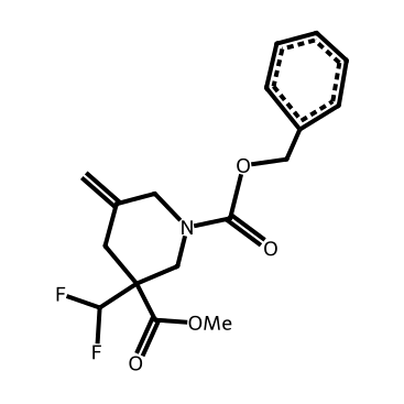 C=C1CN(C(=O)OCc2ccccc2)CC(C(=O)OC)(C(F)F)C1